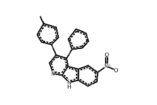 Cc1ccc(-c2cnc3[nH]c4ccc([N+](=O)[O-])cc4c3c2-c2ccccc2)cc1